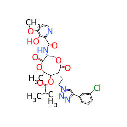 COc1ccnc(C(=O)N[C@H]2COC(=O)[C@H](CCn3cc(-c4cccc(Cl)c4)nn3)[C@@H](OC(=O)C(C)C)[C@H](C)OC2=O)c1O